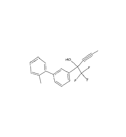 CC#CC(O)(c1cccc(-c2ccccc2C)c1)C(F)(F)F